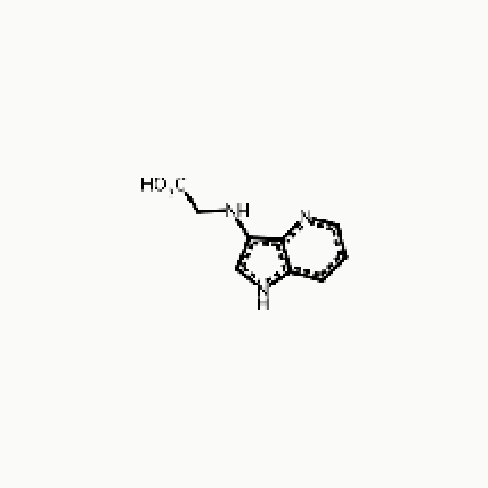 O=C(O)CNc1c[nH]c2cccnc12